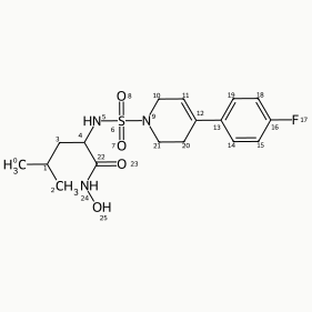 CC(C)CC(NS(=O)(=O)N1CC=C(c2ccc(F)cc2)CC1)C(=O)NO